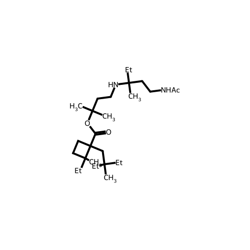 CCC(C)(CC)CC1(C(=O)OC(C)(C)CCNC(C)(CC)CCNC(C)=O)CCC1(C)CC